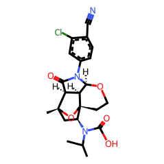 CC(C)N(C(=O)O)[C@H]1C[C@@]2(C)O[C@@]13CCO[C@H]1[C@@H]3[C@@H]2C(=O)N1c1ccc(C#N)c(Cl)c1